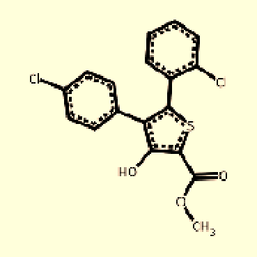 COC(=O)c1sc(-c2ccccc2Cl)c(-c2ccc(Cl)cc2)c1O